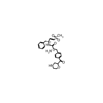 CS(=O)(=O)C=C[C@H](Cc1ccccc1)NC(=O)[C@@H](N)Cc1ccc(C(=O)C2CNCCO2)cc1